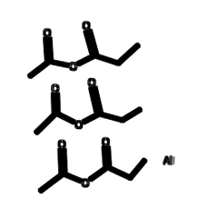 CCC(=O)OC(C)=O.CCC(=O)OC(C)=O.CCC(=O)OC(C)=O.[Al]